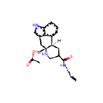 C=CCNC(=O)C1CN[C@@H]2Cc3c[nH]c4cccc(c34)[C@H]2C1.CC(=O)O